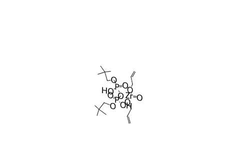 C=CC[O][Zr](=[O])[O]CC=C.CC(C)(C)COP(=O)(O)OP(=O)(O)OCC(C)(C)C